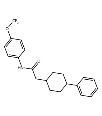 O=C(CC1CCC(c2ccccc2)CC1)Nc1ccc(OC(F)(F)F)cc1